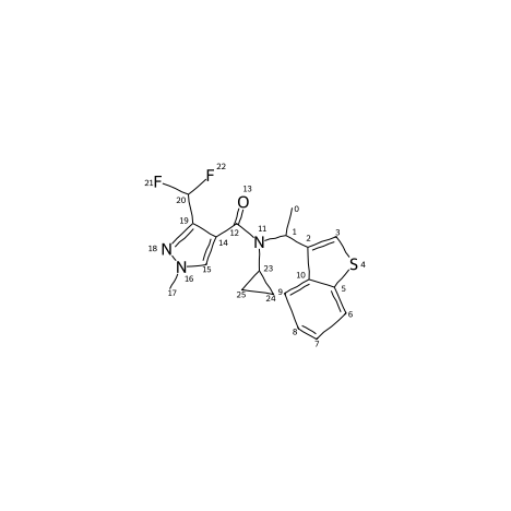 CC(c1csc2ccccc12)N(C(=O)c1cn(C)nc1C(F)F)C1CC1